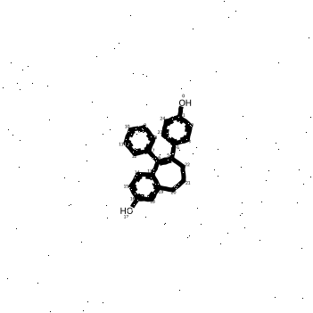 Oc1ccc(C2=C(c3ccccc3)c3ccc(O)cc3CCC2)cc1